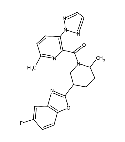 Cc1ccc(-n2nccn2)c(C(=O)N2CC(c3nc4cc(F)ccc4o3)CCC2C)n1